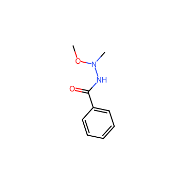 CON(C)NC(=O)c1ccccc1